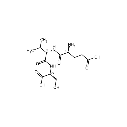 CC(C)[C@H](NC(=O)[C@@H](N)CCC(=O)O)C(=O)N[C@@H](CO)C(=O)O